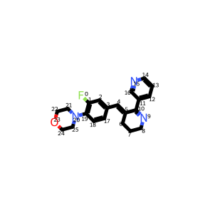 Fc1cc(C=C2CCCN=C2c2cccnc2)ccc1N1CCOCC1